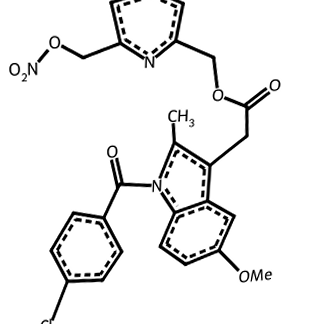 COc1ccc2c(c1)c(CC(=O)OCc1cccc(CO[N+](=O)[O-])n1)c(C)n2C(=O)c1ccc(Cl)cc1